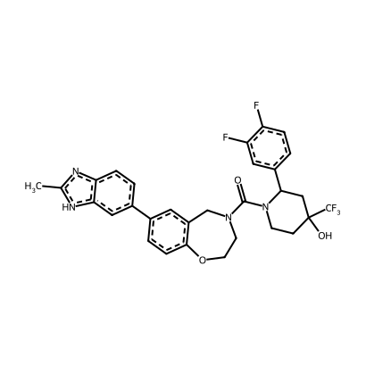 Cc1nc2ccc(-c3ccc4c(c3)CN(C(=O)N3CCC(O)(C(F)(F)F)CC3c3ccc(F)c(F)c3)CCO4)cc2[nH]1